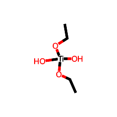 CC[O][Ti]([OH])([OH])[O]CC